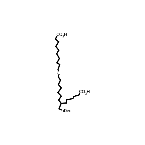 CCCCCCCCCCCC(CCCCCCCCCCCCCCCCCC(=O)O)CCCCCC(=O)O